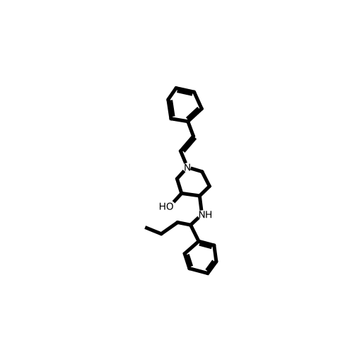 CCCC(NC1CCN(C=Cc2ccccc2)CC1O)c1ccccc1